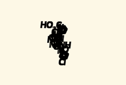 Nc1ncc(Cl)c2c1c(C(=O)Nc1nc3cc(Cl)ccc3o1)nn2C1CCCN(C(=O)O)C1